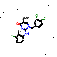 COc1cn(Cc2ccc(Cl)c(Cl)c2)c(NC2=C(C)C(Cl)=CCC2)nc1=O